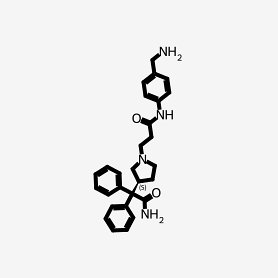 NCc1ccc(NC(=O)CCN2CC[C@@H](C(C(N)=O)(c3ccccc3)c3ccccc3)C2)cc1